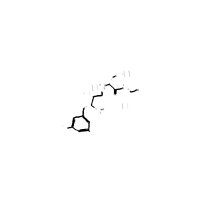 CC(C)CNC(=O)[C@H](CO)NC[C@@H](O)[C@H](Cc1cc(F)cc(F)c1)NC(=O)O